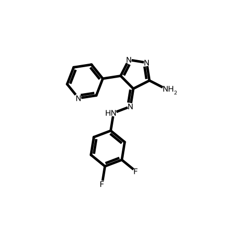 NC1=NN=C(c2cccnc2)/C1=N\Nc1ccc(F)c(F)c1